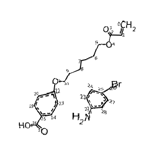 C=CC(=O)OCCCCCCOc1ccc(C(=O)O)cc1.Nc1ccc(Br)cc1